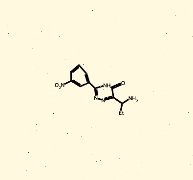 CCC(N)c1nnc(-c2cccc([N+](=O)[O-])c2)[nH]c1=O